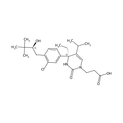 CC[C@@]1(c2ccc(C[C@H](O)C(C)(C)C)c(Cl)c2)NC(=O)N(CCC(=O)O)C=C1C(C)C